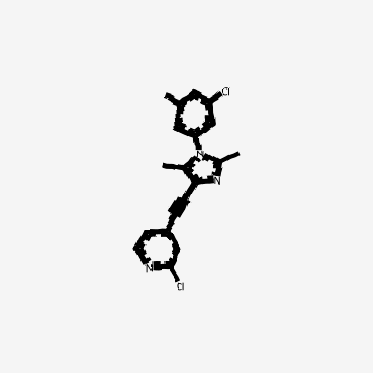 Cc1cc(Cl)cc(-n2c(C)nc(C#Cc3ccnc(Cl)c3)c2C)c1